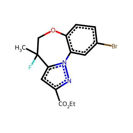 CCOC(=O)c1cc2n(n1)-c1cc(Br)ccc1OCC2(C)F